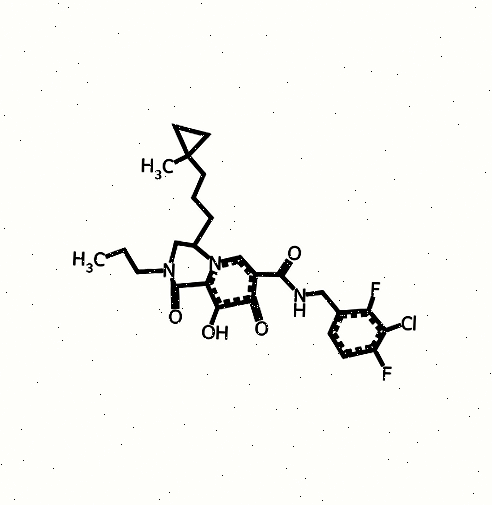 CCCN1CC(CCCC2(C)CC2)n2cc(C(=O)NCc3ccc(F)c(Cl)c3F)c(=O)c(O)c2C1=O